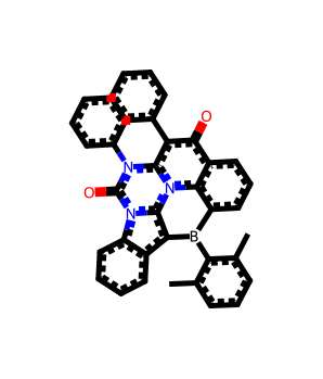 Cc1cccc(C)c1B1c2cccc3c(=O)c(-c4ccccc4)c4n(-c5ccccc5)c(=O)n5c6ccccc6c1c5n4c23